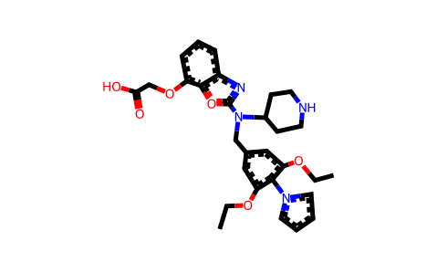 CCOc1cc(CN(c2nc3cccc(OCC(=O)O)c3o2)C2CCNCC2)cc(OCC)c1-n1cccc1